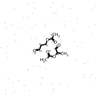 CC(=O)OC(C)C=O.CC(=O)OCCC=O